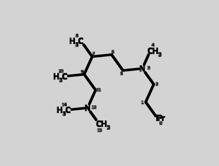 CC(C)CCN(C)CCC(C)C(C)CN(C)C